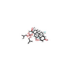 CC(C)COC1(OCC(C)C)OCC(=O)[C@@]2(O1)[C@H](C)C[C@H]1[C@@H]3C[C@H](F)C4=CC(=O)C=C[C@]4(C)[C@@]3(F)[C@@H](O)C[C@@]12C